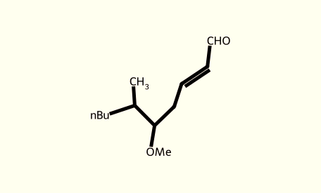 CCCCC(C)C(C/C=C/C=O)OC